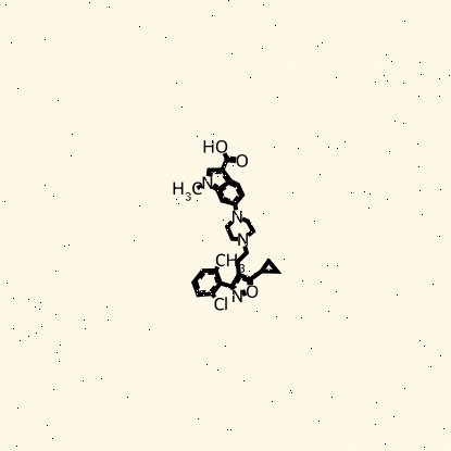 Cc1cccc(Cl)c1-c1noc(C2CC2)c1CCN1CCN(c2ccc3c(C(=O)O)cn(C)c3c2)CC1